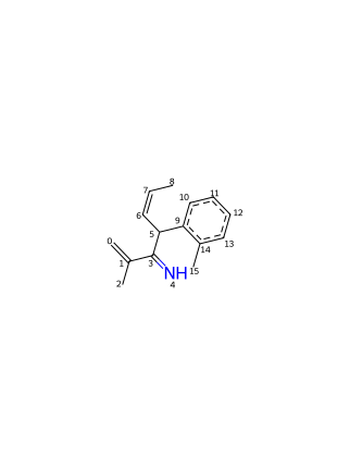 C=C(C)C(=N)C(/C=C\C)c1ccccc1C